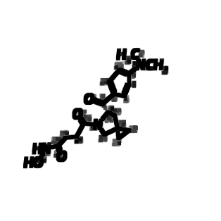 CN(C)c1ccc(C(=O)[C@@H]2CC3(CC3)CN2C(=O)CCC(=O)NO)cc1